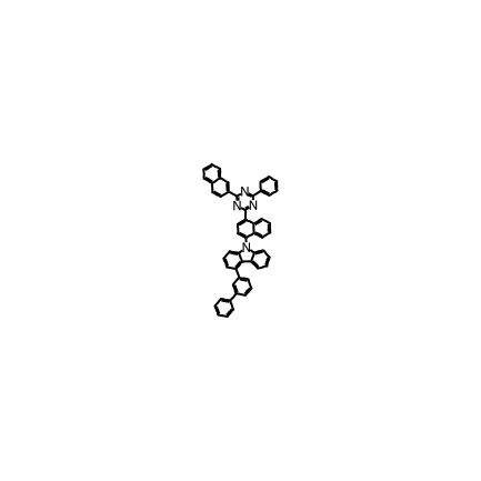 c1ccc(-c2cccc(-c3cccc4c3c3ccccc3n4-c3ccc(-c4nc(-c5ccccc5)nc(-c5ccc6ccccc6c5)n4)c4ccccc34)c2)cc1